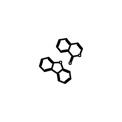 O=c1occc2ccccc12.c1ccc2c(c1)oc1ccccc12